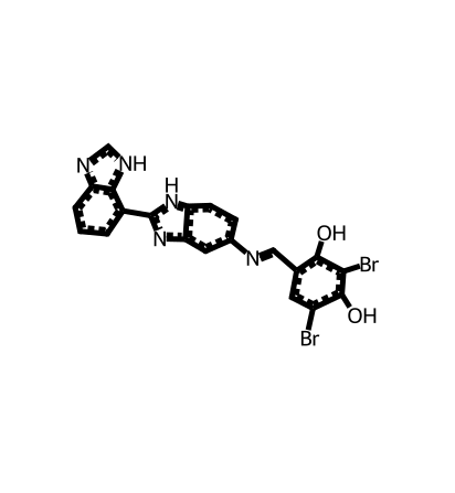 Oc1c(Br)cc(/C=N/c2ccc3[nH]c(-c4cccc5nc[nH]c45)nc3c2)c(O)c1Br